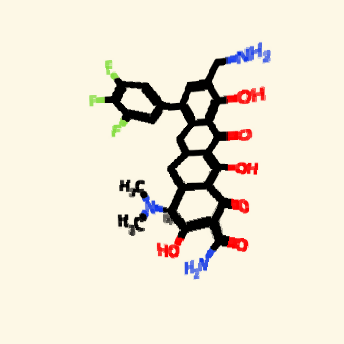 CN(C)[C@@H]1C(O)=C(C(N)=O)C(=O)C2C(O)=C3C(=O)c4c(O)c(CN)cc(-c5cc(F)c(F)c(F)c5)c4CC3CC21